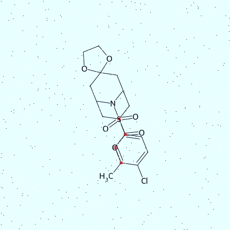 CCOC(=O)C1CC2CC3(CC(C1)N2S(=O)(=O)c1ccc(Cl)cc1)OCCO3